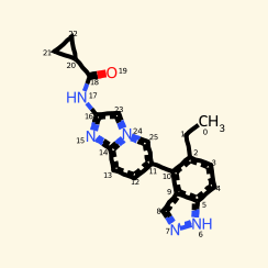 CCc1ccc2[nH]ncc2c1-c1ccc2nc(NC(=O)C3CC3)cn2c1